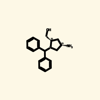 N[C@H]1C[C@@H](CO)N(C(c2ccccc2)c2ccccc2)C1